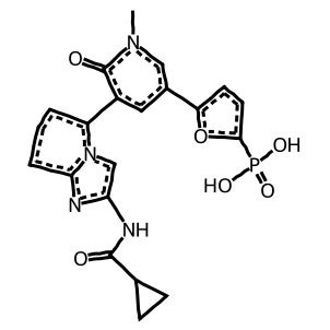 Cn1cc(-c2ccc(P(=O)(O)O)o2)cc(-c2cccc3nc(NC(=O)C4CC4)cn23)c1=O